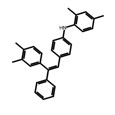 Cc1ccc(Nc2ccc(C=C(c3ccccc3)c3ccc(C)c(C)c3)cc2)c(C)c1